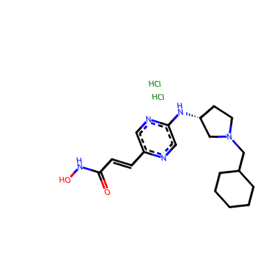 Cl.Cl.O=C(C=Cc1cnc(N[C@@H]2CCN(CC3CCCCC3)C2)cn1)NO